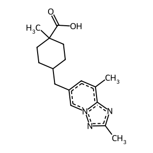 Cc1nc2c(C)cc(CC3CCC(C)(C(=O)O)CC3)cn2n1